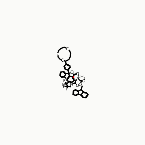 CN(C(=O)OCC1c2ccccc2-c2ccccc21)[C@@H](CC(=O)OC(c1ccccc1)(c1ccc(C2CCCCCCCCCCCC2)cc1)c1ccccc1Cl)C(=O)N1CC(F)(F)C(F)(F)C1